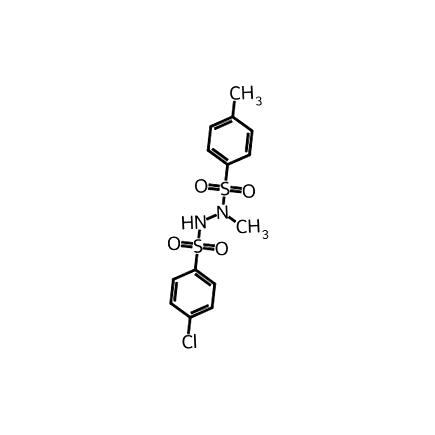 Cc1ccc(S(=O)(=O)N(C)NS(=O)(=O)c2ccc(Cl)cc2)cc1